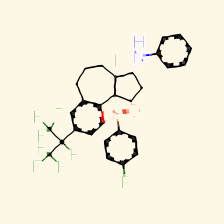 O=S(=O)(c1ccc(F)cc1)[C@@]12CC[C@@H](Nc3ccccc3)[C@@H]1CCCc1cc(C(F)(C(F)(F)F)C(F)(F)F)ccc12